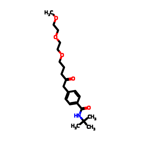 COCCOCCOCCCC(=O)Cc1ccc(C(=O)NC(C)(C)C)cc1